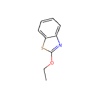 CCOc1nc2ccccc2s1